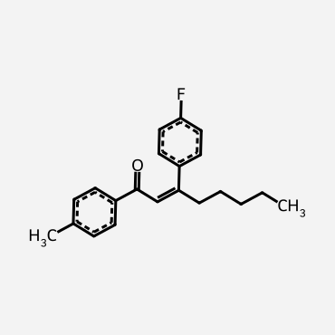 CCCCCC(=CC(=O)c1ccc(C)cc1)c1ccc(F)cc1